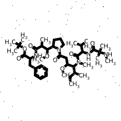 CCC(C)C(C(CC(=O)N1CCCC1C(OC)C(C)C(=O)NC(Cc1ccccc1)C(=O)OC(C)(C)C)OC)N(C)C(=O)C(NC(=O)C(C)(C)NC)C(C)C